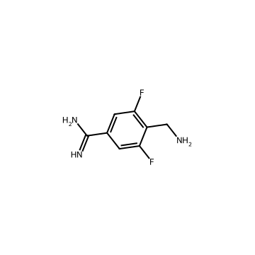 N=C(N)c1cc(F)c(CN)c(F)c1